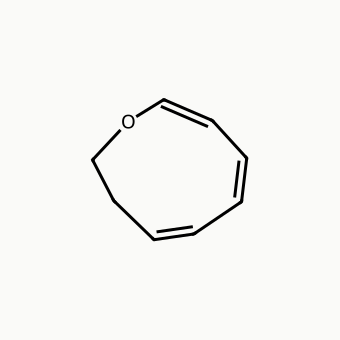 C1=CC=COCCC=C1